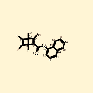 CC1=C(C)C2(C)C(C(=O)Oc3cccc4ccccc34)=C(C)C12C